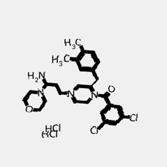 Cc1ccc(C[C@@H]2CN(CCC(N)N3CCOCC3)CCN2C(=O)c2cc(Cl)cc(Cl)c2)cc1C.Cl.Cl